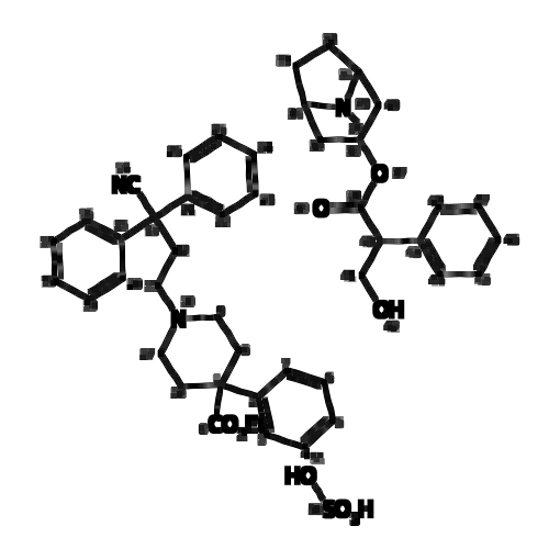 CCOC(=O)C1(c2ccccc2)CCN(CCC(C#N)(c2ccccc2)c2ccccc2)CC1.CN1C2CCC1CC(OC(=O)C(CO)c1ccccc1)C2.O=S(=O)(O)O